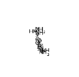 N=C(N)NCCCCCC(=O)Oc1ccc2cc(C(=N)N)ccc2c1